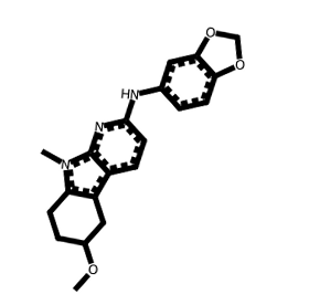 COC1CCc2c(c3ccc(Nc4ccc5c(c4)OCO5)nc3n2C)C1